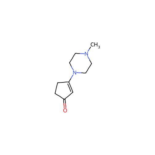 CN1CCN(C2=CC(=O)CC2)CC1